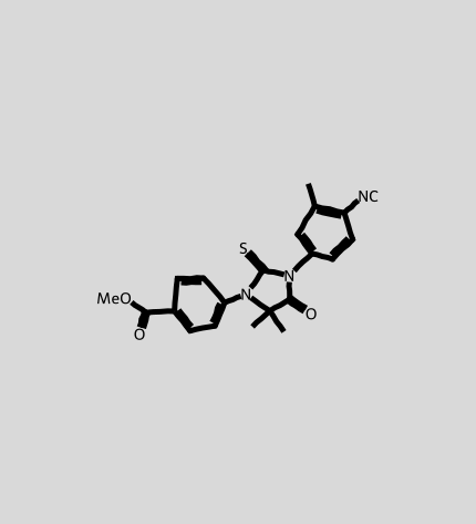 [C-]#[N+]c1ccc(N2C(=O)C(C)(C)N(c3ccc(C(=O)OC)cc3)C2=S)cc1C